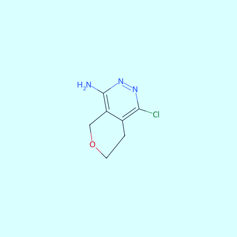 Nc1nnc(Cl)c2c1COCC2